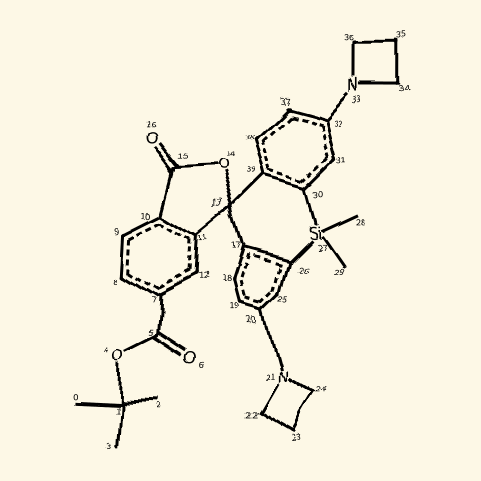 CC(C)(C)OC(=O)c1ccc2c(c1)C1(OC2=O)c2ccc(N3CCC3)cc2[Si](C)(C)c2cc(N3CCC3)ccc21